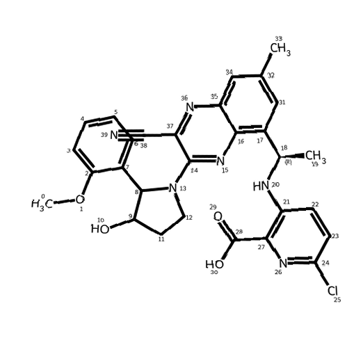 COc1ccccc1C1C(O)CCN1c1nc2c([C@@H](C)Nc3ccc(Cl)nc3C(=O)O)cc(C)cc2nc1C#N